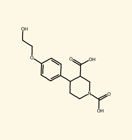 O=C(O)C1CN(C(=O)O)CCC1c1ccc(OCCO)cc1